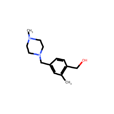 Cc1cc(CN2CCN(C)CC2)ccc1CO